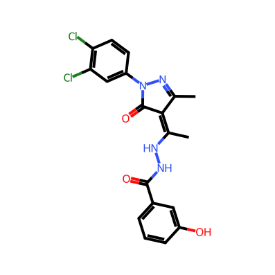 CC1=NN(c2ccc(Cl)c(Cl)c2)C(=O)/C1=C(/C)NNC(=O)c1cccc(O)c1